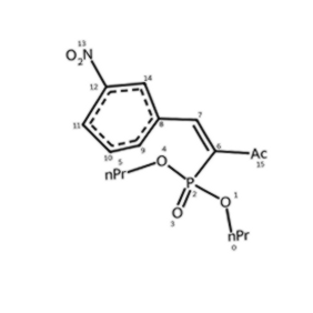 CCCOP(=O)(OCCC)C(=Cc1cccc([N+](=O)[O-])c1)C(C)=O